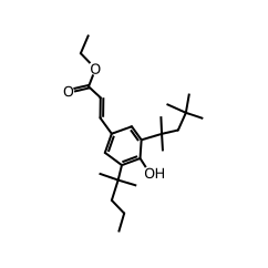 CCCC(C)(C)c1cc(C=CC(=O)OCC)cc(C(C)(C)CC(C)(C)C)c1O